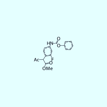 COC(=O)C(C(C)=O)c1ccc(NC(=O)Oc2ccccc2)cc1F